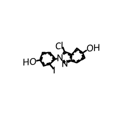 Oc1ccc(-n2nc3ccc(O)cc3c2Cl)c(I)c1